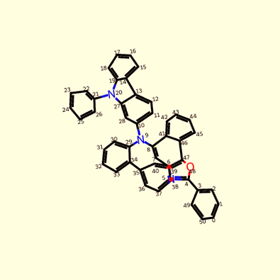 c1ccc(-c2nc3cc(N(c4ccc5c6ccccc6n(-c6ccccc6)c5c4)c4ccccc4-c4ccccc4)c4ccccc4c3o2)cc1